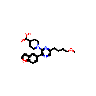 COCCCCc1cnc(-c2ccc3occc3c2)c(N2CCC(C(=O)O)CC2)n1